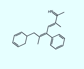 CC(=N)/C(C)=C/C(=C(/C)CC1C=CC=CC1)c1ccccc1